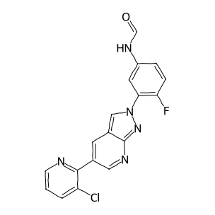 O=CNc1ccc(F)c(-n2cc3cc(-c4ncccc4Cl)cnc3n2)c1